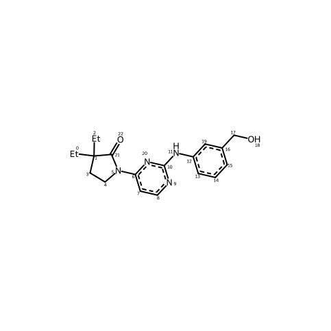 CCC1(CC)CCN(c2ccnc(Nc3cccc(CO)c3)n2)C1=O